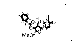 COC[C@H]1O[C@@H](n2ccc(=O)[nH]c2=O)[C@@H](O)C1OC(=O)Oc1ccccc1